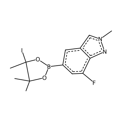 Cn1cc2cc(B3OC(C)(C)C(C)(I)O3)cc(F)c2n1